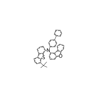 CC(C)(C)c1cccc2c1sc1c(N(c3ccc(-c4ccccc4)cc3)c3cccc4oc5ccccc5c34)cccc12